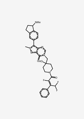 CNC1CCc2cc(-c3c4ncn(CC5(O)CCN(C(=O)C(F)=C(c6ccccc6)C(F)F)CC5)c(=O)c4nn3C)ccc21